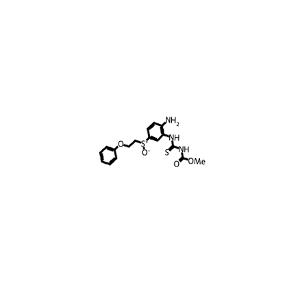 COC(=O)NC(=S)Nc1cc([S+]([O-])CCOc2ccccc2)ccc1N